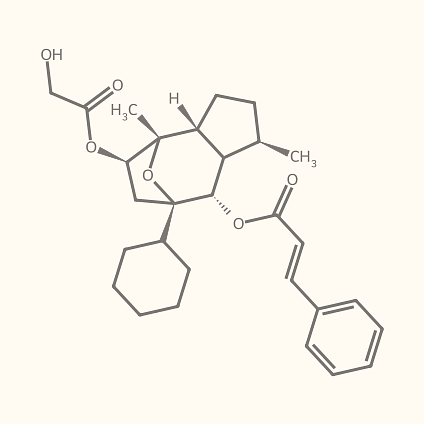 C[C@@H]1CC[C@@H]2C1[C@H](OC(=O)/C=C/c1ccccc1)[C@]1(C3CCCCC3)C[C@@H](OC(=O)CO)[C@@]2(C)O1